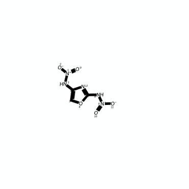 O=[N+]([O-])Nc1coc(N[N+](=O)[O-])n1